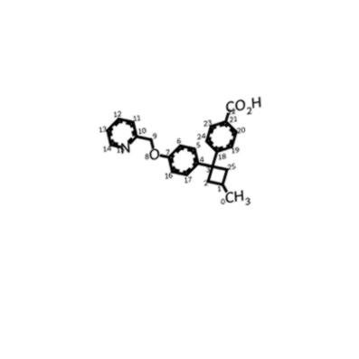 CC1CC(c2ccc(OCc3ccccn3)cc2)(c2ccc(C(=O)O)cc2)C1